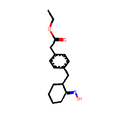 CCOC(=O)Cc1ccc(CC2CCCCC2=NO)cc1